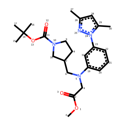 COC(=O)CN(CC1CCN(C(=O)OC(C)(C)C)C1)c1cccc(-n2nc(C)cc2C)c1